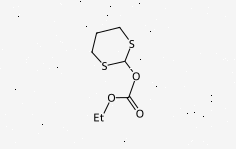 CCOC(=O)OC1SCCCS1